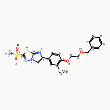 COc1cc(C2CN3N=C(S(N)(=O)=O)SC3=N2)ccc1OCCOCc1ccccc1